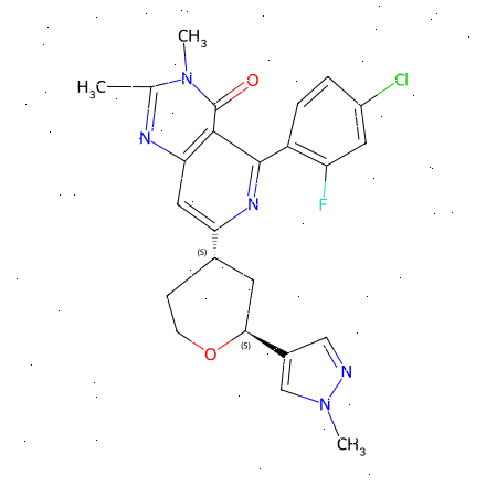 Cc1nc2cc([C@H]3CCO[C@H](c4cnn(C)c4)C3)nc(-c3ccc(Cl)cc3F)c2c(=O)n1C